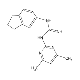 Cc1cc(C)nc(NC(=N)Nc2ccc3c(c2)CCC3)n1